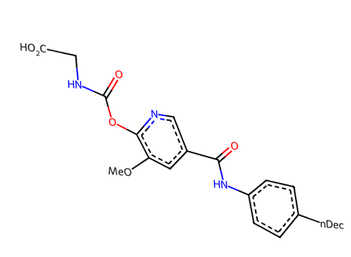 CCCCCCCCCCc1ccc(NC(=O)c2cnc(OC(=O)NCC(=O)O)c(OC)c2)cc1